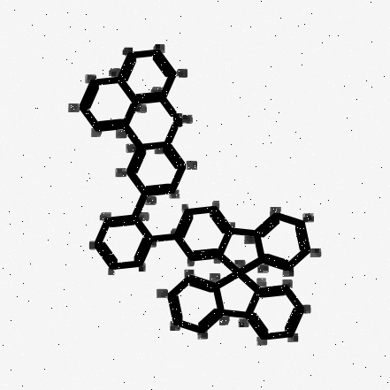 c1ccc(-c2ccc3c(c2)C2(c4ccccc4-c4ccccc42)c2ccccc2-3)c(-c2ccc3c(c2)-c2cccc4cccc(c24)S3)c1